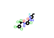 C=Cc1ccc(NC(=O)c2cc(NC(=O)[C@H]3[C@H](c4cc(Cl)cc(Cl)c4)C3(Cl)Cl)ccc2Cl)nc1F